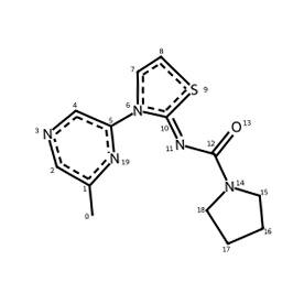 Cc1cncc(-n2ccsc2=NC(=O)N2CCCC2)n1